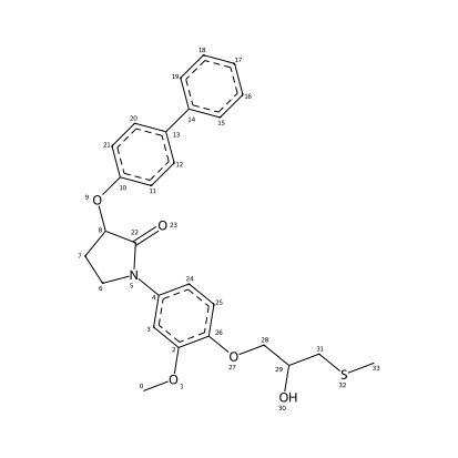 COc1cc(N2CCC(Oc3ccc(-c4ccccc4)cc3)C2=O)ccc1OCC(O)CSC